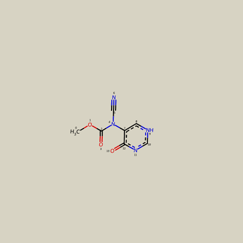 COC(=O)N(C#N)c1c[nH]cnc1=O